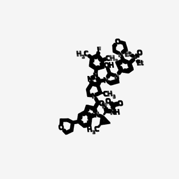 CCP(=O)(CC)c1ccc(N2C=CN(c3c4c(nn3-c3cc(C)c(F)c(C)c3)CCN(C(=O)c3cc5cc(C6CCOCC6)ccc5n3[C@@]3(c5noc(=O)[nH]5)C[C@@H]3C)[C@H]4C)C2O)cc1N1CCOCC1